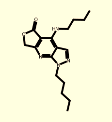 CCCCCn1ncc2c(NCCCC)c3c(nc21)COC3=O